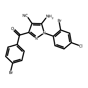 N#Cc1c(C(=O)c2ccc(Br)cc2)nn(-c2ccc(Cl)cc2Br)c1N